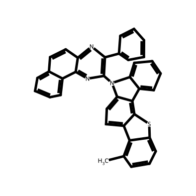 Cc1cccc2sc3c(ccc4c3c3ccccc3n4-c3nc4c(ccc5ccccc54)nc3-c3ccccc3)c12